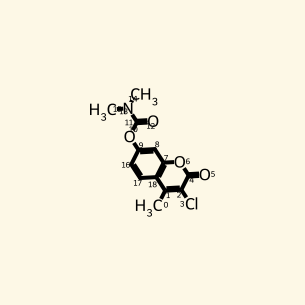 Cc1c(Cl)c(=O)oc2cc(OC(=O)N(C)C)ccc12